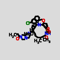 C=CC(=O)N1CCN2CCN(C[C@]3(OC)/C=C/C[C@H](C)[C@@H](C)C(=O)NS(=O)(=O)c4ccc5c(c4)N(C[C@@H]4CC[C@H]43)C[C@@]3(CCCc4cc(Cl)ccc43)CO5)CC2C1